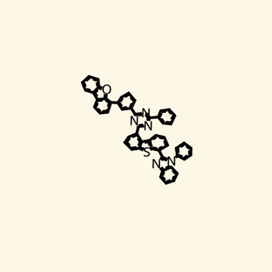 c1ccc(-c2nc(-c3cccc(-c4cccc5c4oc4ccccc45)c3)nc(-c3cccc4sc5c(-c6nc7ccccc7n6-c6ccccc6)cccc5c34)n2)cc1